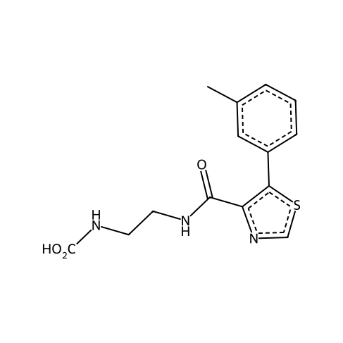 Cc1cccc(-c2scnc2C(=O)NCCNC(=O)O)c1